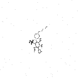 CCCCCC[C@H]1CC[C@@](C#N)(c2c(F)c(F)c(OC)c(F)c2F)CC1